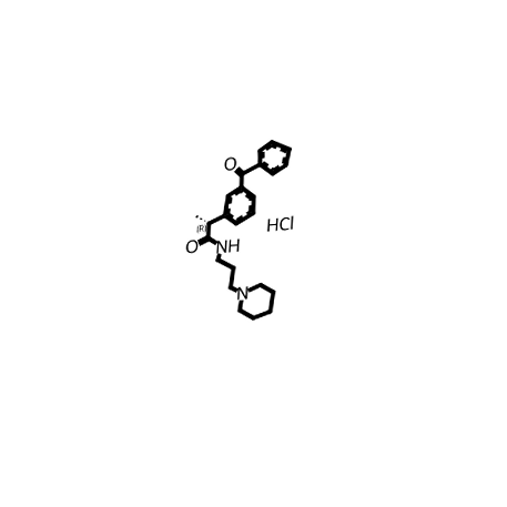 C[C@@H](C(=O)NCCCN1CCCCC1)c1cccc(C(=O)c2ccccc2)c1.Cl